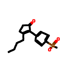 CCCCC1=C(c2ccc(S(C)(=O)=O)cc2)C(=O)CC1